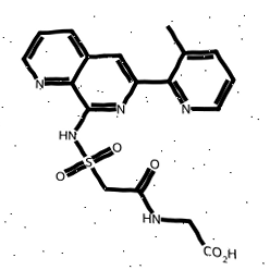 Cc1cccnc1-c1cc2cccnc2c(NS(=O)(=O)CC(=O)NCC(=O)O)n1